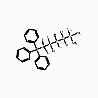 CC[Si](CC)([Si](C)(C)C)[Si](CC)(CC)[Si](CC)(CC)[Si](CC)(CC)[Si](c1ccccc1)(c1ccccc1)c1ccccc1